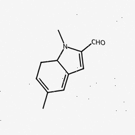 CC1=CCC2C(=C1)C=C(C=O)N2C